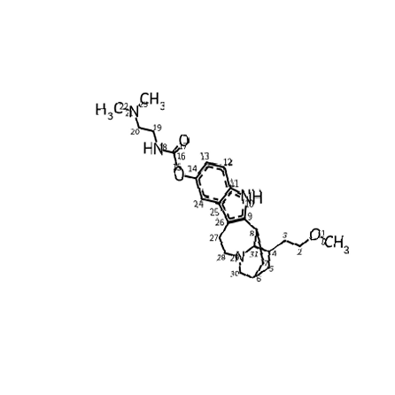 COCCC1CC2CC3c4[nH]c5ccc(OC(=O)NCCN(C)C)cc5c4CCN(C2)C13